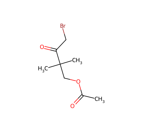 CC(=O)OCC(C)(C)C(=O)CBr